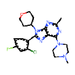 Cc1nc(N2CCN(C)CC2)c2nc(-c3ccc(F)cc3Cl)n(C3CCOCC3)c2n1